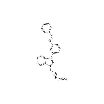 CO/N=C/Cn1nc(-c2cccc(OCc3ccccc3)c2)c2ccccc21